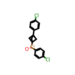 [O-][S+](c1ccc(Cl)cc1)C12CC(c3ccc(Cl)cc3)(C1)C2